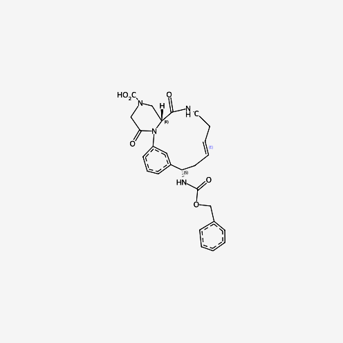 O=C(N[C@H]1C/C=C/CCNC(=O)[C@H]2CN(C(=O)O)CC(=O)N2c2cccc1c2)OCc1ccccc1